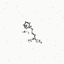 CN(C)CCCN1CCC[SiH]1C